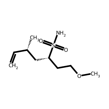 C=C[C@H](C)C[C@@H](CCOC)S(N)(=O)=O